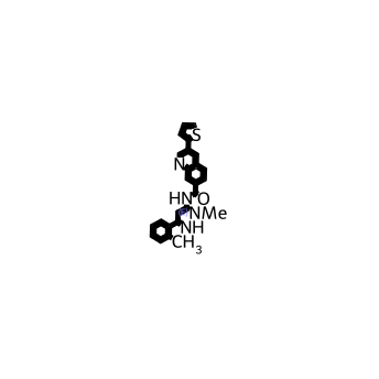 CN/C(=C\C(=N)c1ccccc1C)NC(=O)c1ccc2cc(-c3cccs3)cnc2c1